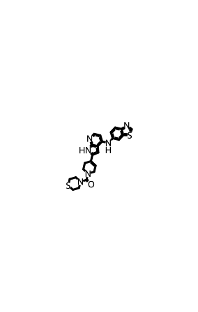 O=C(N1CC=C(c2cc3c(Nc4ccc5ncsc5c4)ccnc3[nH]2)CC1)N1CCSCC1